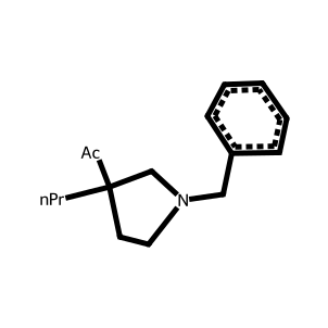 CCCC1(C(C)=O)CCN(Cc2ccccc2)C1